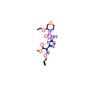 C=CCON=C(C(=O)OC)c1nsc(N[PH](=O)N2CCOCC2OCC)n1